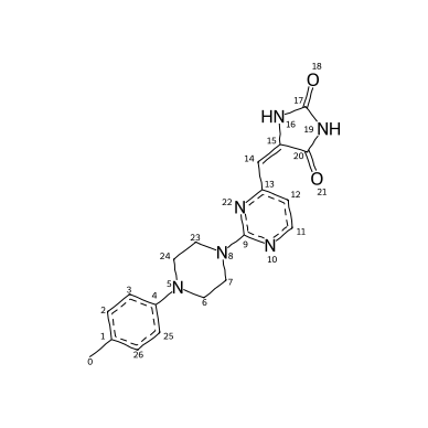 Cc1ccc(N2CCN(c3nccc(/C=C4/NC(=O)NC4=O)n3)CC2)cc1